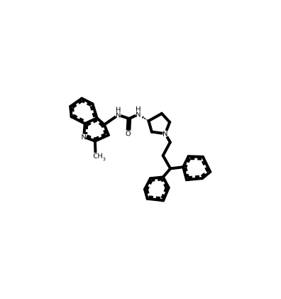 Cc1cc(NC(=O)N[C@@H]2CCN(CCC(c3ccccc3)c3ccccc3)C2)c2ccccc2n1